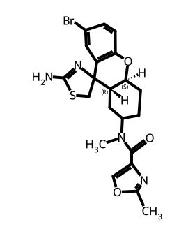 Cc1nc(C(=O)N(C)C2CC[C@@H]3Oc4ccc(Br)cc4C4(CSC(N)=N4)[C@H]3C2)co1